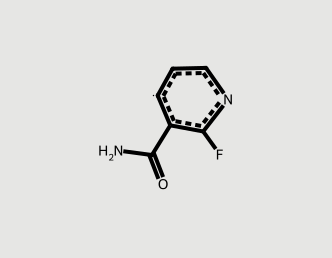 NC(=O)c1[c]ccnc1F